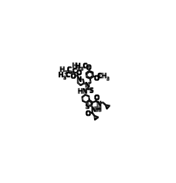 COc1ccc(CN(C(=S)N[C@H]2CCc3sc(NC(=O)C4CC4)c(C(=O)NCC4CC4)c3C2)[C@H]2CCN(C(=O)OC(C)(C)C)C2)c(OC)c1